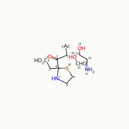 CC(=O)CC(=O)C1(CC(=O)O)NCCS1.NCCO.O=CO